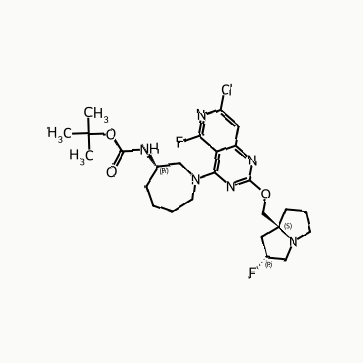 CC(C)(C)OC(=O)N[C@@H]1CCCCN(c2nc(OC[C@@]34CCCN3C[C@H](F)C4)nc3cc(Cl)nc(F)c23)C1